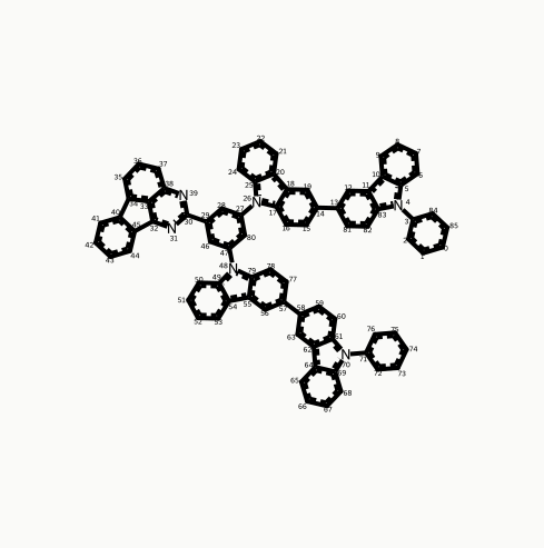 c1ccc(-n2c3ccccc3c3cc(-c4ccc5c(c4)c4ccccc4n5-c4cc(-c5nc6c7c(cccc7n5)-c5ccccc5-6)cc(-n5c6ccccc6c6cc(-c7ccc8c(c7)c7ccccc7n8-c7ccccc7)ccc65)c4)ccc32)cc1